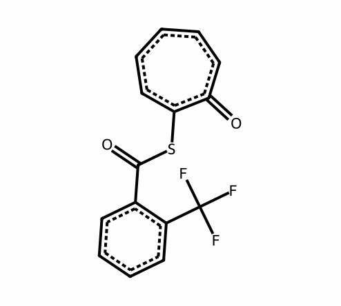 O=C(Sc1cccccc1=O)c1ccccc1C(F)(F)F